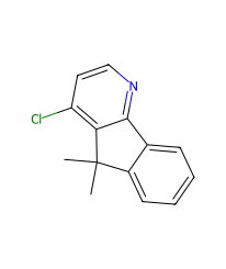 CC1(C)c2ccccc2-c2nccc(Cl)c21